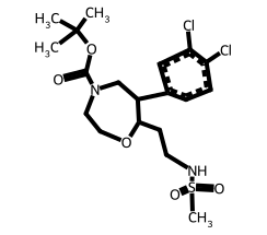 CC(C)(C)OC(=O)N1CCOC(CCNS(C)(=O)=O)C(c2ccc(Cl)c(Cl)c2)C1